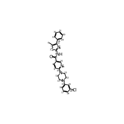 Cc1sc(NC(=O)c2ccc(N3CCN(c4cccc(Cl)c4)CC3)nc2)nc1-c1ccccc1